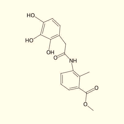 COC(=O)c1cccc(NC(=O)Cc2ccc(O)c(O)c2O)c1C